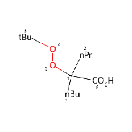 CCCCC(CCC)(OOC(C)(C)C)C(=O)O